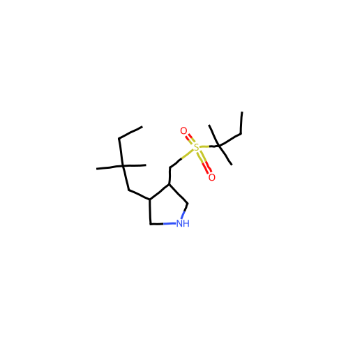 CCC(C)(C)CC1CNCC1CS(=O)(=O)C(C)(C)CC